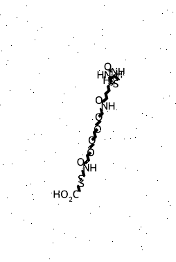 O=C(O)CCSSCCNC(=O)CCOCCOCCOCCOCCNC(=O)CCCC[C@@H]1SC[C@@H]2NC(=O)N[C@@H]21